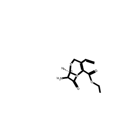 C=CC1=C(C(=O)OCC)N2C(=O)C(N)[C@H]2SC1